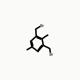 Cc1cc(CBr)c(C)c(CBr)c1